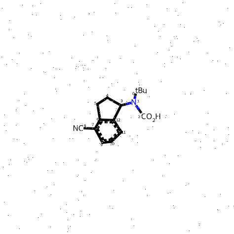 CC(C)(C)N(C(=O)O)C1CCc2c(C#N)cccc21